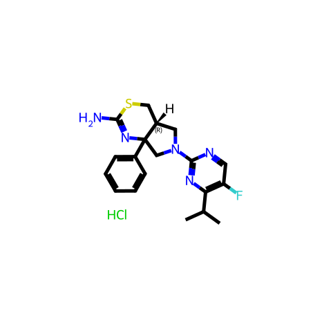 CC(C)c1nc(N2C[C@H]3CSC(N)=NC3(c3ccccc3)C2)ncc1F.Cl